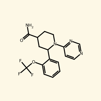 NC(=O)C1CCN(c2ccncn2)C(c2ccccc2OC(F)(F)F)C1